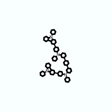 c1ccc(N(c2ccc(-c3ccc4c(c3)c3ccccc3n4-c3ccccc3)cc2)c2cccc(-c3ccc(-c4cccc(N(c5ccccc5)c5ccc(-c6ccc7c(c6)c6ccccc6n7-c6ccccc6)cc5)c4)cc3)c2)cc1